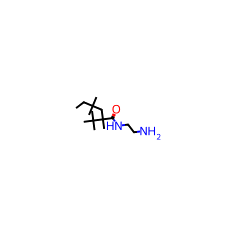 CCC(C)(C)CC(C)(C(=O)NCCN)C(C)(C)C